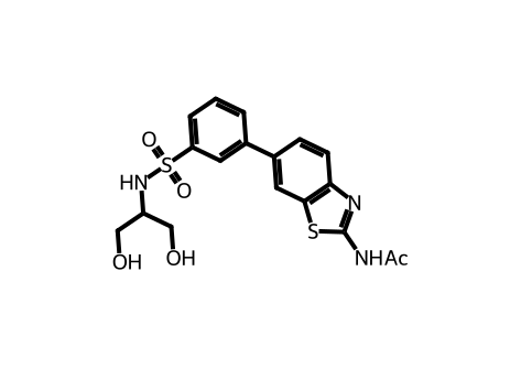 CC(=O)Nc1nc2ccc(-c3cccc(S(=O)(=O)NC(CO)CO)c3)cc2s1